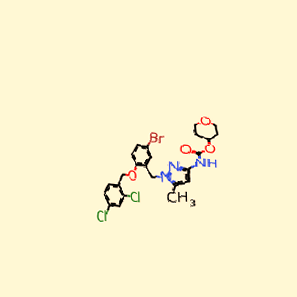 Cc1cc(NC(=O)OC2CCOCC2)nn1Cc1cc(Br)ccc1OCc1ccc(Cl)cc1Cl